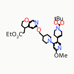 CCOC(=O)CC1CCOc2cnc(OCC3CCN(c4cc(OC)ncc4C4=CCN(C(=O)OC(C)(C)C)CC4)CC3)cc21